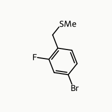 CSCc1ccc(Br)cc1F